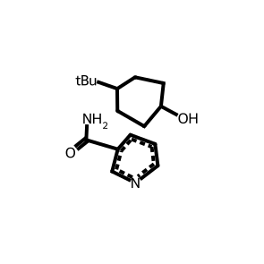 CC(C)(C)C1CCC(O)CC1.NC(=O)c1cccnc1